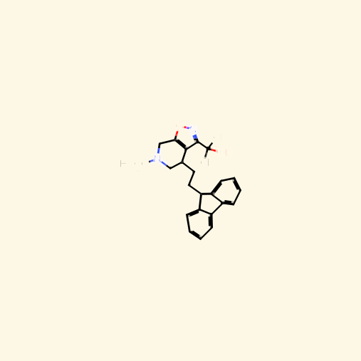 CC(O)(c1noc2c1C(CCC1c3ccccc3-c3ccccc31)CN(C(=O)O)C2)C(F)(F)F